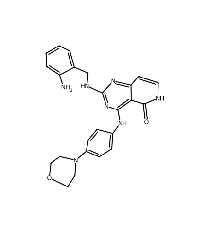 Nc1ccccc1CNc1nc(Nc2ccc(N3CCOCC3)cc2)c2c(=O)[nH]ccc2n1